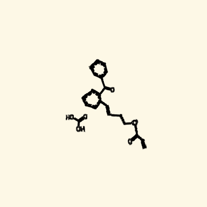 C=CC(=O)OCCC=Cc1ccccc1C(=O)c1ccccc1.O=C(O)O